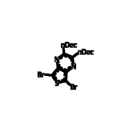 CCCCCCCCCCc1nc2c(Br)sc(Br)c2nc1CCCCCCCCCC